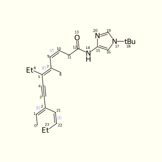 C/C=C(C#C/C(CC)=C(C)/C=C\CC(=O)Nc1cn(C(C)(C)C)cn1)\C=C/CC